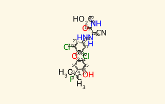 CC(C)(F)c1cc(Oc2c(Cl)cc(NNC(C#N)C(=O)NC(=O)O)cc2Cl)ccc1O